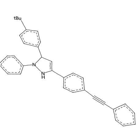 CC(C)(C)c1ccc(C2C=C(c3ccc(C#Cc4ccccc4)cc3)NN2c2ccccc2)cc1